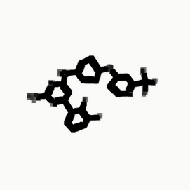 Nc1nc(Nc2ccc(Oc3ccnc(C(F)(F)F)c3)cc2)cc(-c2cccc(F)c2F)n1